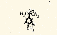 Cc1ccc(C(C)(C)C)cc1Br